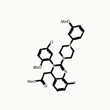 COC(=O)CC1c2cccc(F)c2N=C(N2CCN(c3cccc(OC)c3)CC2)N1c1cc(Cl)ccc1OC